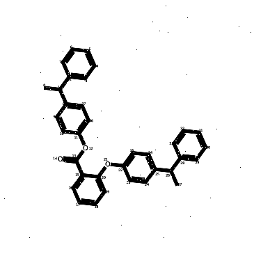 CC(c1ccccc1)c1ccc(OC(=O)c2ccccc2Oc2ccc(C(C)c3ccccc3)cc2)cc1